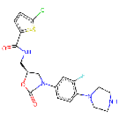 O=C(NC[C@H]1CN(c2ccc(N3CCNCC3)c(F)c2)C(=O)O1)c1ccc(Cl)s1